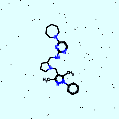 Cc1nn(-c2ccccc2)c(C)c1CN1CCCC1CNc1nccc(N2CCCCCC2)n1